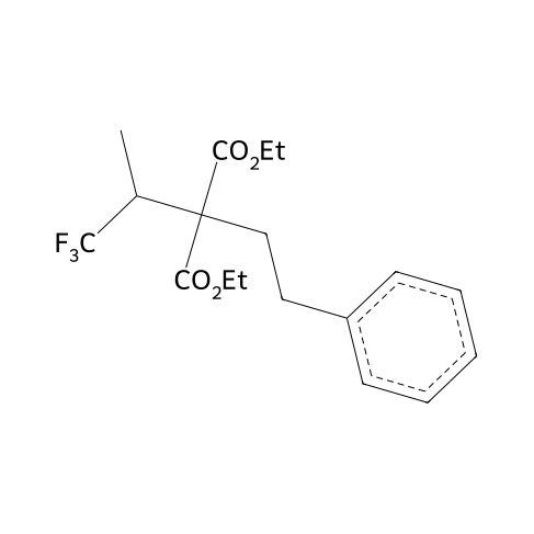 CCOC(=O)C(CCc1ccccc1)(C(=O)OCC)C(C)C(F)(F)F